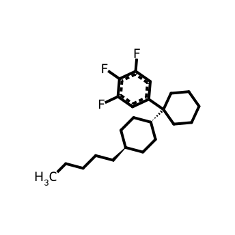 CCCCC[C@H]1CC[C@H](C2(c3cc(F)c(F)c(F)c3)CCCCC2)CC1